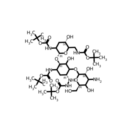 CC(C)(C)OC(=O)NCC1O[C@H](O[C@@H]2C(NC(=O)OC(C)(C)C)C[C@@H](NNC(=O)OC(C)(C)C)C(OC3O[C@H](CO)C(O)C(N)[C@H]3O)C2O)C(NC(=O)OC(C)(C)C)C[C@@H]1O